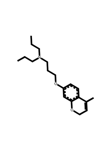 CCCN(CCC)CCCOc1ccc2c(c1)OCC=C2C